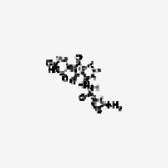 Nc1cc(C(=O)NNc2cccc3c2C(=O)N(C2CCC(=O)NC2=O)C3=O)ns1